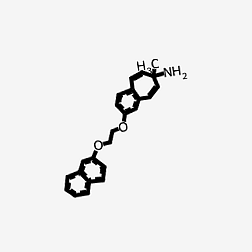 CC1(N)C=Cc2ccc(OCCOc3ccc4ccccc4c3)cc2C=C1